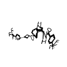 O=C(Nc1c[nH]c2ccc(O[C@H]3C[C@H](c4ccc(C(F)(F)F)nc4)C3)cc12)c1ccc(C(F)(F)F)cc1